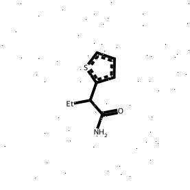 CCC(C(N)=O)c1cccs1